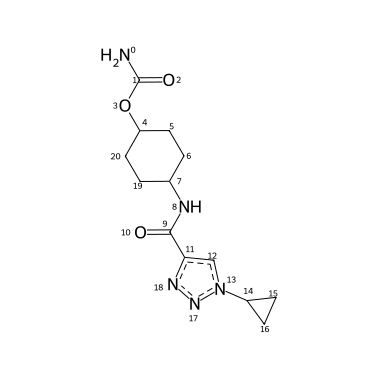 NC(=O)OC1CCC(NC(=O)c2cn(C3CC3)nn2)CC1